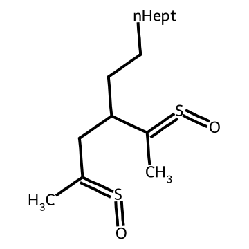 CCCCCCCCCC(CC(C)=S=O)C(C)=S=O